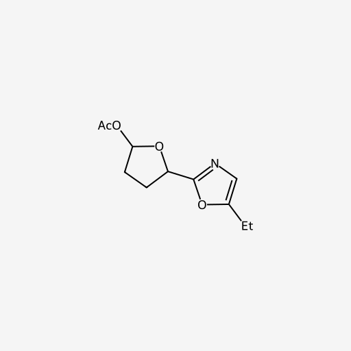 CCc1cnc(C2CCC(OC(C)=O)O2)o1